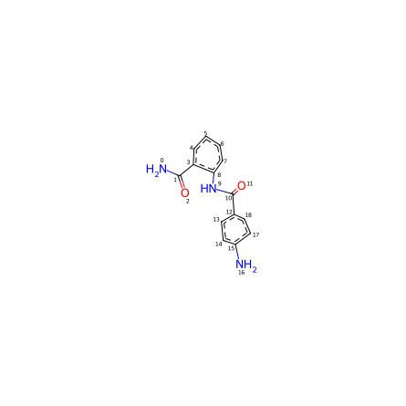 NC(=O)c1ccccc1NC(=O)c1ccc(N)cc1